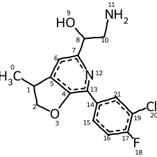 CC1COc2c1cc(C(O)CN)nc2-c1ccc(F)c(Cl)c1